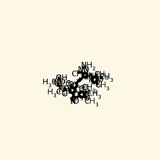 COc1cc(-c2oncc2-c2cc(CCC#Cc3cn(Cc4ncc(C)c(OC)c4C)c4nc(N)nc(Cl)c34)c(OC)c(OC(=O)N(C)CCN(C)C(=O)O)c2)cc(OC)c1OC